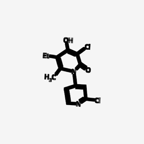 CCc1c(O)c(Cl)c(=O)n(-c2ccnc(Cl)c2)c1C